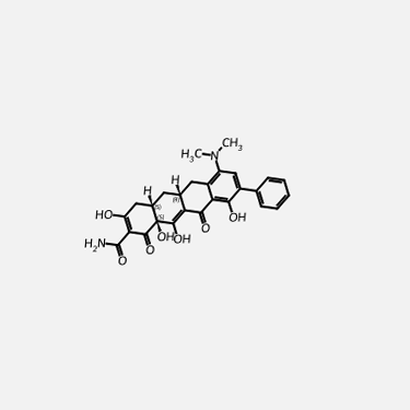 CN(C)c1cc(-c2ccccc2)c(O)c2c1C[C@H]1C[C@H]3CC(O)=C(C(N)=O)C(=O)[C@@]3(O)C(O)=C1C2=O